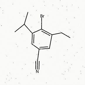 CCc1cc(C#N)cc(C(C)C)c1Br